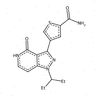 CCC(CC)n1nc(-c2csc(C(N)=O)c2)c2c(=O)[nH]ccc21